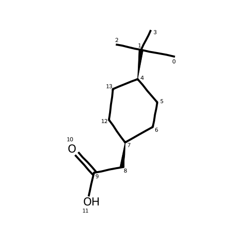 CC(C)(C)[C@H]1CC[C@@H](CC(=O)O)CC1